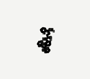 CN(CCC(=O)Nc1cc(C(CP2(=O)OCCO2)P2(=O)OCCO2)ccc1F)c1ccccn1